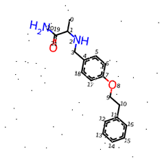 CC(NCc1ccc(OCCc2ccccc2)cc1)C(N)=O